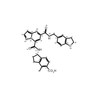 Cc1c(C(=O)O)ccc2c1CC[C@@H]2NC(=O)c1cc(C(=O)NCc2ccc3c(c2)CCO3)nc2ccnn12